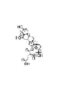 CC(C)(O)[C@@H]1CC[C@](C)([C@H]2[C@@H](OC(=O)C(CCC(=O)O)NCl)C[C@@]3(C)C4C[C@H](O)[C@H]5C(C)(C)[C@@H](O)CC[C@@]56CC46CC[C@]23C)O1